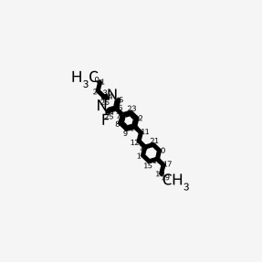 CCCc1ncc(-c2ccc(CCC3CCC(CCC)CC3)cc2)c(F)n1